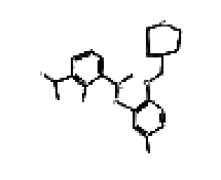 C[C@@H](Nc1cc(Cl)nnc1NCC1CCOCC1)c1cccc(C(F)F)c1F